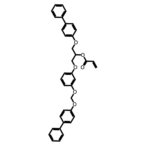 C=CC(=O)OC(COc1ccc(-c2ccccc2)cc1)COc1cccc(OCOc2ccc(-c3ccccc3)cc2)c1